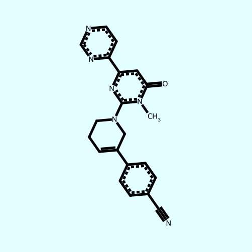 Cn1c(N2CCC=C(c3ccc(C#N)cc3)C2)nc(-c2ccncn2)cc1=O